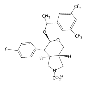 C[C@@H](O[C@H]1OC[C@@H]2CN(C(=O)O)C[C@H]2[C@@H]1c1ccc(F)cc1)c1cc(C(F)(F)F)cc(C(F)(F)F)c1